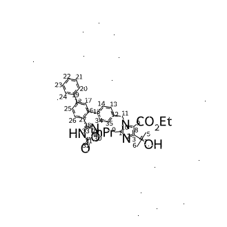 CCCc1nc(C(C)(C)O)c(C(=O)OCC)n1Cc1ccc(-c2cc(-c3ccccc3)ccc2-c2noc(=O)[nH]2)cc1